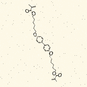 C=C(C)C(=O)OCCCCCCOc1ccc(-c2ccc(OCCCCCCOC(=O)C(=C)C)cc2)cc1